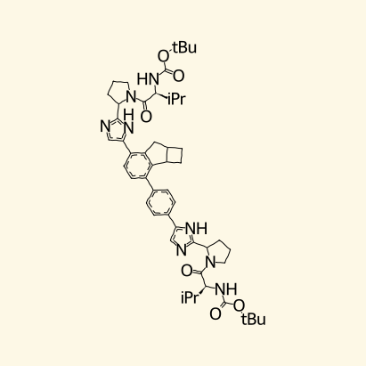 CC(C)[C@H](NC(=O)OC(C)(C)C)C(=O)N1CCCC1c1ncc(-c2ccc(-c3ccc(-c4cnc(C5CCCN5C(=O)[C@@H](NC(=O)OC(C)(C)C)C(C)C)[nH]4)c4c3C3CCC3C4)cc2)[nH]1